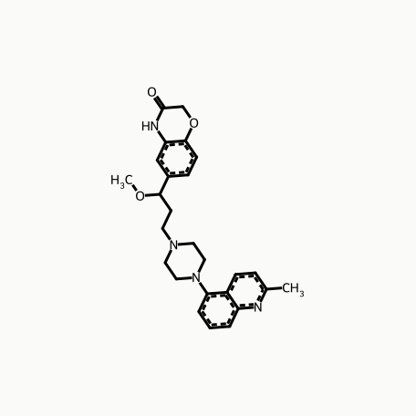 COC(CCN1CCN(c2cccc3nc(C)ccc23)CC1)c1ccc2c(c1)NC(=O)CO2